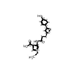 CCn1cc(NC(=O)CCc2cc(-c3ccc(O)cc3)no2)c(C(=O)O)c1